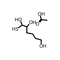 CC(=O)O.OCCCCC(O)C(O)S